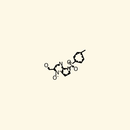 Cc1ccc(S(=O)(=O)n2ccc3c2ncc(C=O)[n+]3[O-])cc1